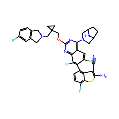 N#Cc1c(N)sc2c(F)ccc(-c3c(Cl)cc4c(N5CC6CCC(C5)N6)nc(OCC5(CN6Cc7ccc(F)cc7C6)CC5)nc4c3F)c12